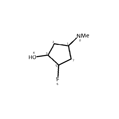 CNC1CC(O)C(F)C1